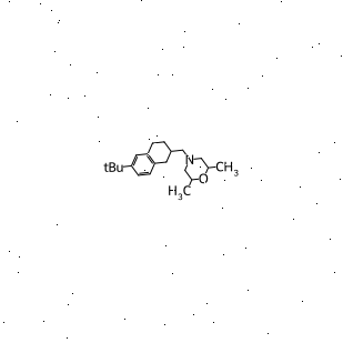 CC1CN(CC2CCc3cc(C(C)(C)C)ccc3C2)CC(C)O1